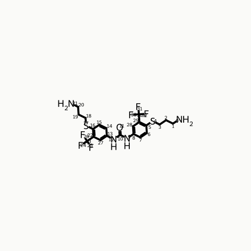 NCCCSc1ccc(NC(=O)Nc2ccc(SCCCN)c(C(F)(F)F)c2)cc1C(F)(F)F